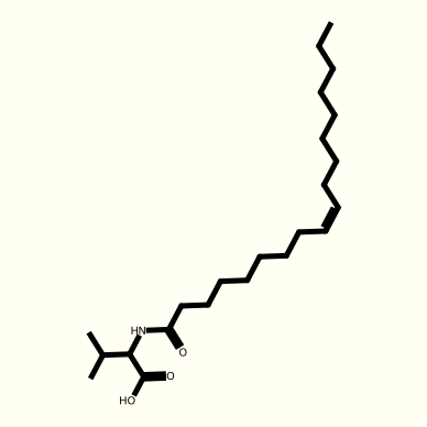 CCCCCCCC/C=C\CCCCCCCC(=O)NC(C(=O)O)C(C)C